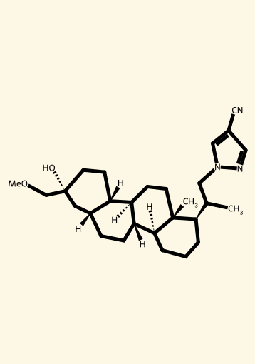 COC[C@@]1(O)CC[C@H]2[C@H](CC[C@@H]3[C@@H]2CC[C@]2(C)[C@@H](C(C)Cn4cc(C#N)cn4)CCC[C@@H]32)C1